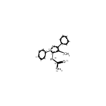 Cc1c(-c2ccccc2)nn(-c2ccccc2)c1NC(N)=O